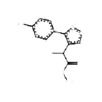 CCCCc1ccc(-c2[nH]ncc2C(C)C(=O)NN)cc1